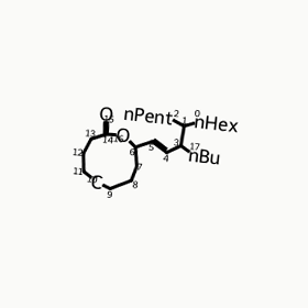 CCCCCCC(CCCCC)C(/C=C/C1CCCCCCCC(=O)O1)CCCC